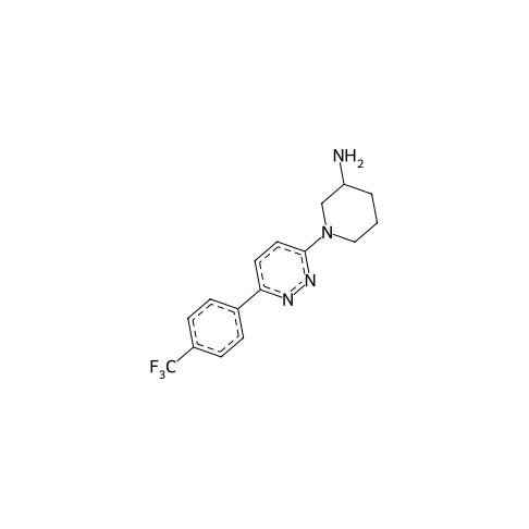 NC1CCCN(c2ccc(-c3ccc(C(F)(F)F)cc3)nn2)C1